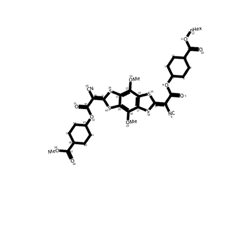 [C-]#[N+]C(C(=O)OC1CCC(C(=O)OCCCCCC)CC1)=C1Sc2c(OC)c3c(c(OC)c2S1)SC(=C(C#N)C(=O)OC1CCC(C(=O)OC)CC1)S3